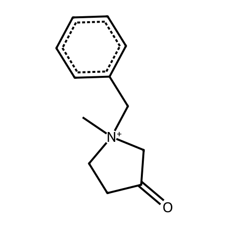 C[N+]1(Cc2ccccc2)CCC(=O)C1